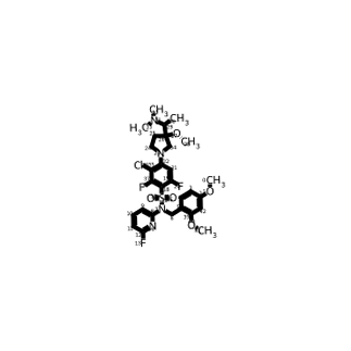 COc1ccc(CN(c2cccc(F)n2)S(=O)(=O)c2c(F)cc(N3CCC(OC)(C(C)N(C)C)C3)c(Cl)c2F)c(OC)c1